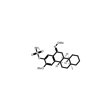 CO/N=C1\C[C@@H]2[C@H](CC[C@]3(C)CCCC[C@@H]23)c2cc(OC)c(OS(N)(=O)=O)cc21